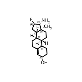 C[C@]12CC[C@H]3[C@@H](CCC4=C[C@@H](O)CC[C@@H]43)[C@@H]1C[C@@H](F)[C@@H]2N